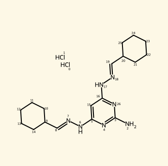 Cl.Cl.Nc1nc(N/N=C/C2CCCCC2)cc(N/N=C/C2CCCCC2)n1